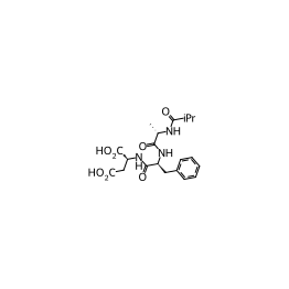 CC(C)C(=O)N[C@@H](C)C(=O)N[C@@H](Cc1ccccc1)C(=O)N[C@@H](CC(=O)O)C(=O)O